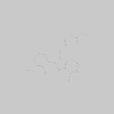 COc1ccc(Cn2c(-c3cccc(OC)c3F)nc3c(F)nccc32)cc1